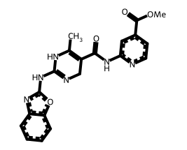 COC(=O)c1ccnc(NC(=O)C2=C(C)NC(Nc3nc4ccccc4o3)=NC2)c1